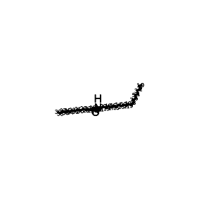 CCCCCCCC/C=C\CCCCCCCCCCCCNC(=O)CCCCCCCCCCCCCCC